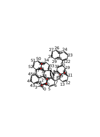 CC(C)(C)c1ccc(-c2ccccc2)c(N(c2cccc(-c3cccc4ccccc34)c2)c2ccccc2-c2cccc3cccc(-c4ccccc4)c23)c1